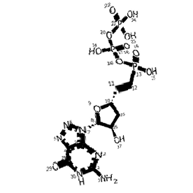 Nc1nc2c(nnn2[C@@H]2O[C@H](/C=C/P(=O)(O)OP(=O)(O)OP(=O)(O)O)C[C@H]2O)c(=O)[nH]1